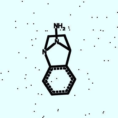 NN1C2CCN1c1ccccc12